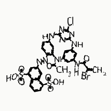 C=C(Br)C(=O)Nc1cccc(Nc2nc(Cl)nc(Nc3ccc(N=Nc4cc(S(=O)(=O)O)c5cccc(S(=O)(=O)O)c5c4)c(NC(C)=O)c3)n2)c1